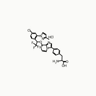 Cc1ccn(-c2cc(Cl)ccc2C(Oc2nccn3c(-c4ccc(CC(N)C(=O)O)cc4)cnc23)C(F)(F)F)n1.Cl